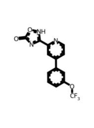 O=c1nc(-c2cc(-c3cccc(OC(F)(F)F)c3)ccn2)[nH]o1